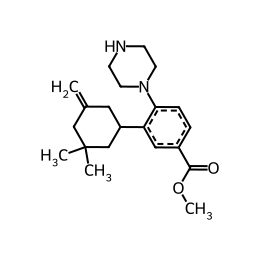 C=C1CC(c2cc(C(=O)OC)ccc2N2CCNCC2)CC(C)(C)C1